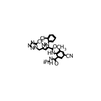 Cc1cc(C#N)cc(C(=O)NC(C)C)c1NC(=O)c1cc(Cn2nnnc2C(F)(F)F)nn1-c1ccccc1Cl